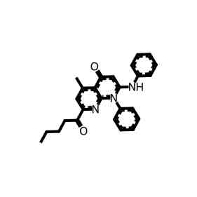 CCCCC(=O)c1cc(C)c2c(=O)cc(Nc3ccccc3)n(-c3ccccc3)c2n1